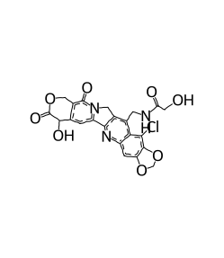 O=C(CO)NCc1c2c(nc3cc4c(c(Cl)c13)OCO4)-c1cc3c(c(=O)n1C2)COC(=O)C3O